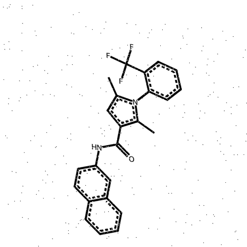 Cc1cc(C(=O)Nc2ccc3ccccc3c2)c(C)n1-c1ccccc1C(F)(F)F